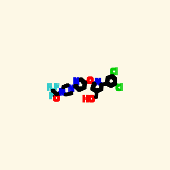 O=C(N1CCN(c2ccc(Oc3cc(CO)cc(-c4cc(Cl)cc(Cl)c4)n3)cn2)CC1)C(F)(F)F